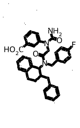 NC(=O)N(CC(=O)N(Cc1ccc(F)cc1)C1c2ccccc2CCC1Cc1ccccc1)c1cccc(C(=O)O)c1